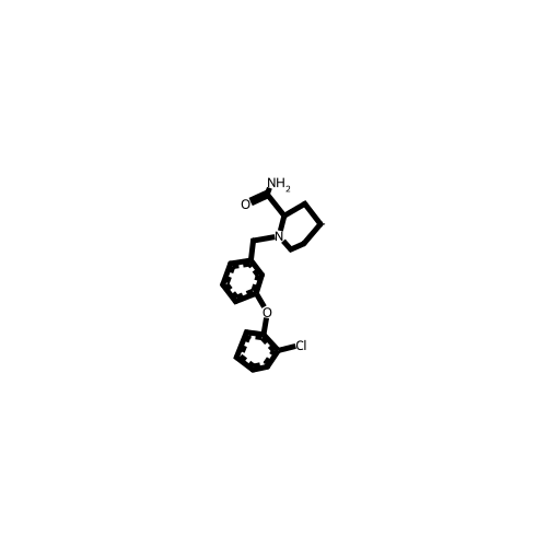 NC(=O)C1C[CH]CCN1Cc1cccc(Oc2ccccc2Cl)c1